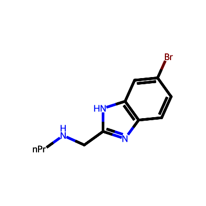 CCCNCc1nc2ccc(Br)cc2[nH]1